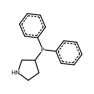 c1ccc(P(c2ccccc2)C2CCNC2)cc1